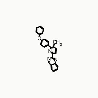 Cc1ccc(-c2ncc3ccccc3n2)nc1-c1ccc(Oc2ccccc2)cc1